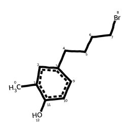 Cc1cc(CCCCBr)ccc1O